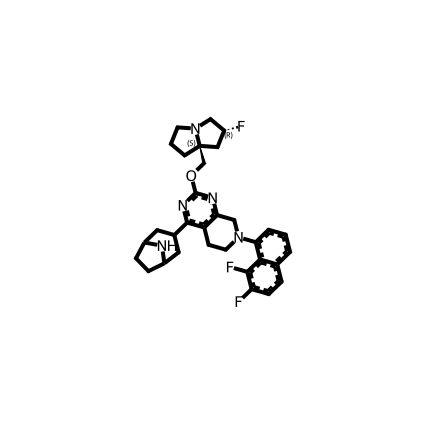 Fc1ccc2cccc(N3CCc4c(nc(OC[C@@]56CCCN5C[C@H](F)C6)nc4C4CC5CCC(C4)N5)C3)c2c1F